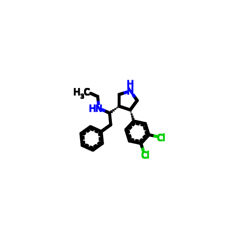 CCNC(Cc1ccccc1)[C@@H]1CNC[C@@H]1c1ccc(Cl)c(Cl)c1